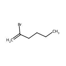 C=C(Br)CCCC